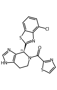 O=C(c1nccs1)N1CCc2[nH]cnc2[C@H]1c1nc2c(Cl)cccc2s1